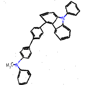 CN(c1ccccc1)c1ccc(-c2ccc(-c3cccc4c3c3ccccc3n4-c3ccccc3)cc2)cc1